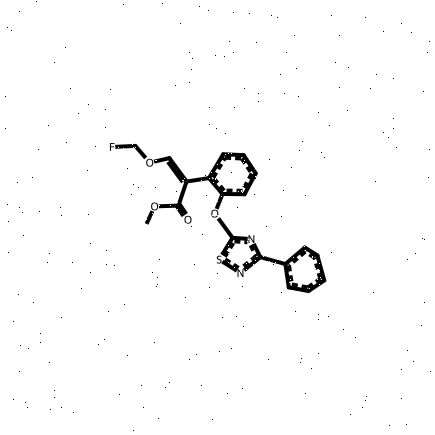 COC(=O)C(=COCF)c1ccccc1Oc1nc(-c2ccccc2)ns1